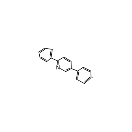 [c]1ccc(-c2ccc(-c3ccccc3)nc2)cc1